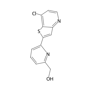 OCc1cccc(-c2cc3nccc(Cl)c3s2)n1